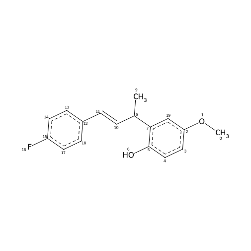 COc1ccc(O)c(C(C)C=Cc2ccc(F)cc2)c1